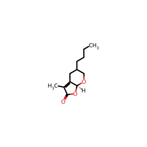 CCCCC1CO[C@H]2OC(=O)C(C)=C2C1